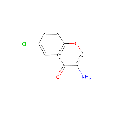 Nc1coc2ccc(Cl)cc2c1=O